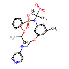 Cc1cc(OCCNc2ccncc2)cc(N(C(C)(C)P(=O)=O)S(=O)(=O)c2ccccc2OC(C)C)c1